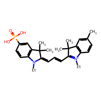 CCN1/C(=C/C=C/C2=[N+](CC)c3ccc(C)cc3C2(C)C)C(C)(C)c2cc(P(=O)(O)O)ccc21